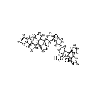 CC1(C)c2ccc(-c3ccc4oc5ccc(-c6c7ccccc7c(-c7cccc8c7ccc7ccccc78)c7ccccc67)cc5c4c3)cc2-c2c1c1ccccc1c1ccccc21